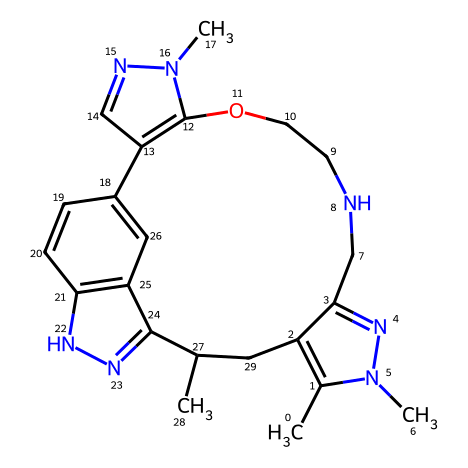 Cc1c2c(nn1C)CNCCOc1c(cnn1C)-c1ccc3[nH]nc(c3c1)C(C)C2